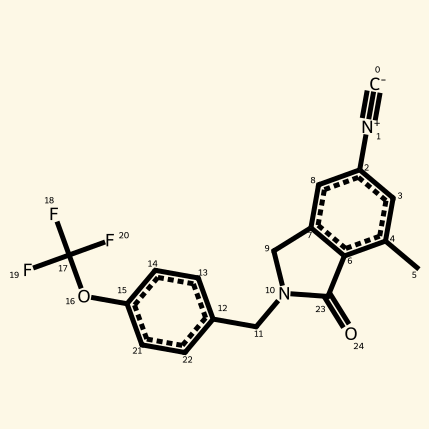 [C-]#[N+]c1cc(C)c2c(c1)CN(Cc1ccc(OC(F)(F)F)cc1)C2=O